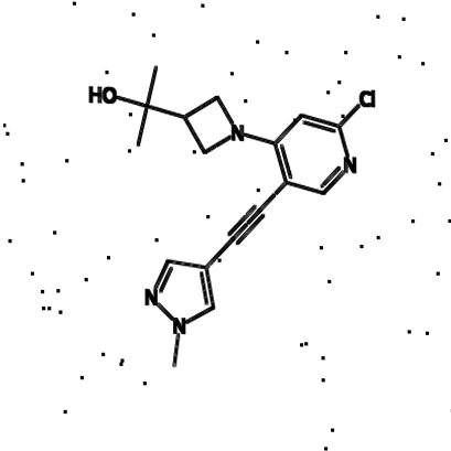 Cn1cc(C#Cc2cnc(Cl)cc2N2CC(C(C)(C)O)C2)cn1